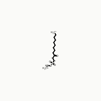 CCCCCCCCCC(=O)CCS(=O)(=O)ONC